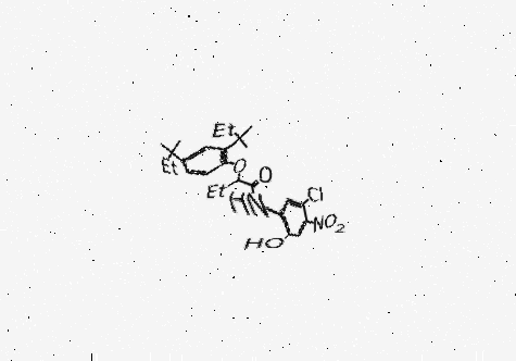 CCC(Oc1ccc(C(C)(C)CC)cc1C(C)(C)CC)C(=O)Nc1cc(Cl)c([N+](=O)[O-])cc1O